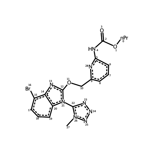 CCCOC(=O)Nc1cccc(COc2nc3c(Br)cccc3n2-c2nnnn2C)n1